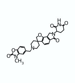 Cn1c(=O)oc2ccc(CN3CCC4(CC3)COc3c4ccc4c3CN(C3CCC(=O)NC3=O)C4=O)cc21